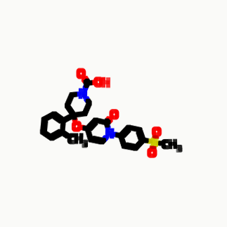 Cc1ccccc1C1(Oc2ccn(-c3ccc(S(C)(=O)=O)cc3)c(=O)c2)CCN(C(=O)O)CC1